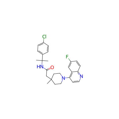 CC1(CC(=O)NC(C)(C)c2ccc(Cl)cc2)CCN(c2ccnc3ccc(F)cc23)CC1